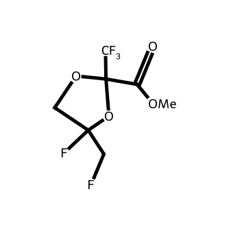 COC(=O)C1(C(F)(F)F)OCC(F)(CF)O1